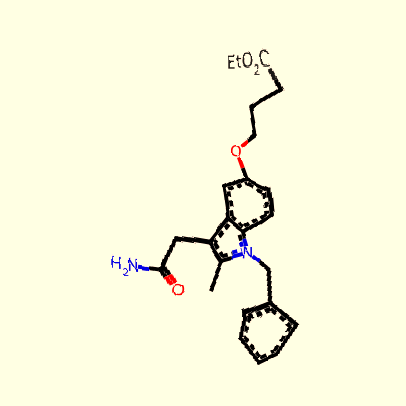 CCOC(=O)CCCOc1ccc2c(c1)c(CC(N)=O)c(C)n2Cc1ccccc1